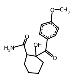 COc1ccc(C(=O)C2(O)CCCCC2C(N)=O)cc1